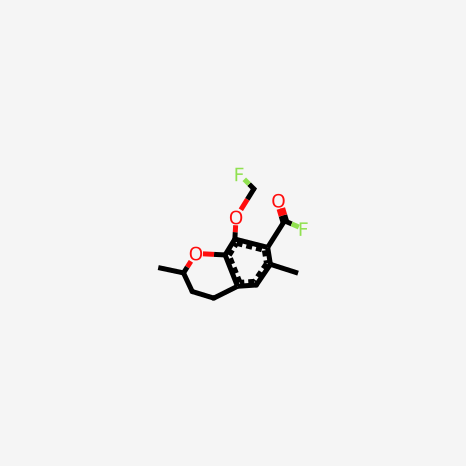 Cc1cc2c(c(OCF)c1C(=O)F)OC(C)CC2